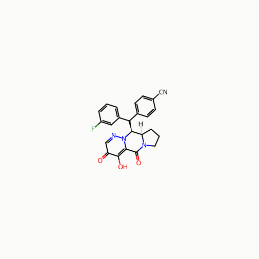 N#Cc1ccc(C(c2cccc(F)c2)[C@H]2[C@H]3CCCN3C(=O)c3c(O)c(=O)cnn32)cc1